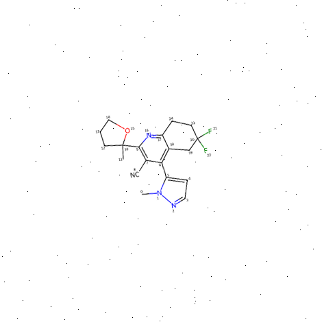 Cn1nccc1-c1c(C#N)c(C2(C)CCCO2)nc2c1CC(F)(F)CC2